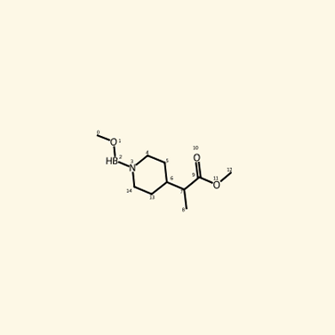 COBN1CCC(C(C)C(=O)OC)CC1